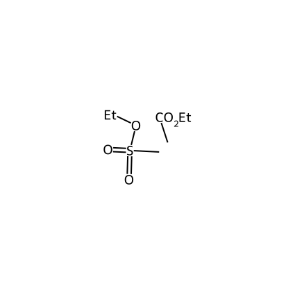 CCOC(C)=O.CCOS(C)(=O)=O